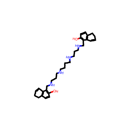 Oc1ccc2c(c1CNCCCNCCCCNCCCNCc1c(O)ccc3c1C=CCC3)C=CCC2